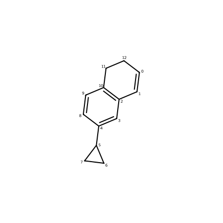 C1=Cc2cc(C3CC3)ccc2CC1